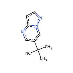 CC(C)(C#N)c1cnc2ccnn2c1